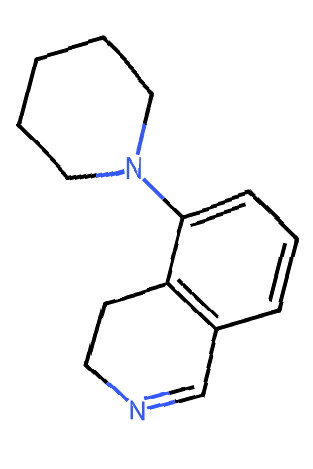 C1=NCCc2c1cccc2N1CCCCC1